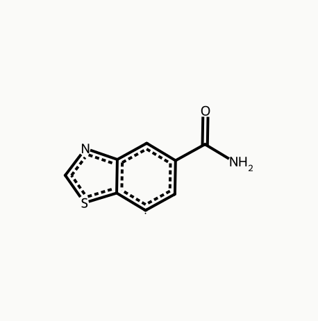 NC(=O)c1c[c]c2scnc2c1